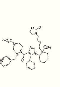 O=C(O)N1CCN(C(=O)c2ncn(C3CCCCC3(O)COCCN3CCOC3=O)c2-c2ccccc2)[C@H](Cc2ccccc2)C1